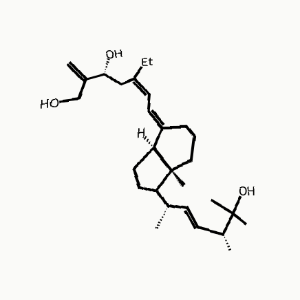 C=C(CO)[C@H](O)C/C(=C\C=C1/CCC[C@]2(C)C([C@@H](C)/C=C/[C@@H](C)C(C)(C)O)CC[C@@H]12)CC